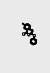 Cc1ccc2nc(Oc3ccccc3)oc(=O)c2c1